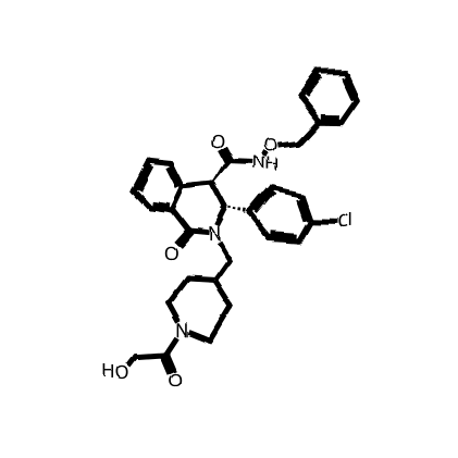 O=C(NOCc1ccccc1)[C@@H]1c2ccccc2C(=O)N(CC2CCN(C(=O)CO)CC2)[C@H]1c1ccc(Cl)cc1